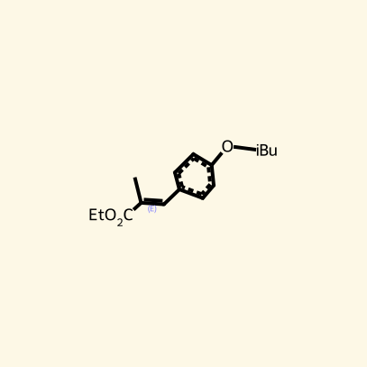 CCOC(=O)/C(C)=C/c1ccc(OC(C)CC)cc1